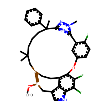 Cn1nc2nc1-c1cc(ccc1F)Oc1c(F)c(F)c3[nH]cc4c3c1CC/S(=S(/OC=O)C4)CC(C)(C)CCCC2(C)c1ccccc1